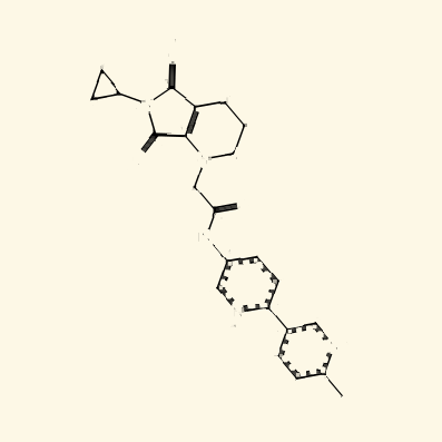 Cc1ccc(-c2ccc(NC(=O)CN3CCCC4=C3C(=O)N(C3CC3)C4=O)cn2)cn1